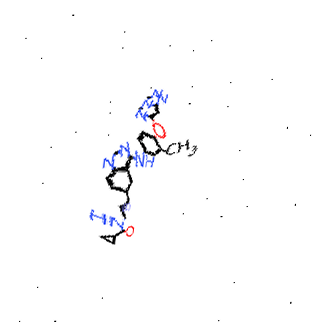 Cc1cc(Nc2ncnc3ccc(/C=C/CNC(=O)C4CC4)cc23)ccc1Oc1cc2nncn2cn1